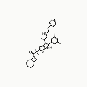 Cc1cc(C)cc(-c2[nH]c3sc(C(C)(C)C(=O)N4CC5CCCCCC54)cc3c2[C@@H](C)CNCCc2ccncc2)c1